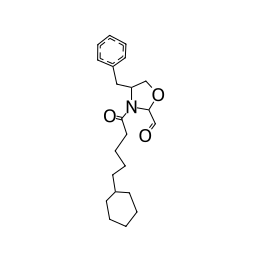 O=CC1OCC(Cc2ccccc2)N1C(=O)CCCCC1CCCCC1